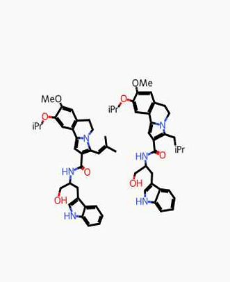 COc1cc2c(cc1OC(C)C)-c1cc(C(=O)NC(CO)Cc3c[nH]c4ccccc34)c(C=C(C)C)n1CC2.COc1cc2c(cc1OC(C)C)-c1cc(C(=O)NC(CO)Cc3c[nH]c4ccccc34)c(CC(C)C)n1CC2